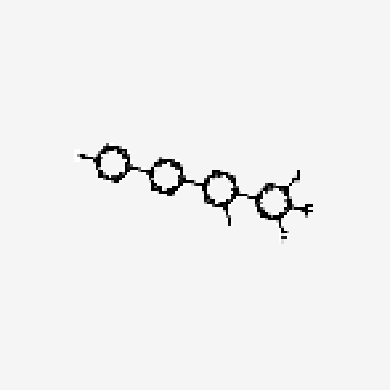 Cc1cc(-c2ccc(-c3ccc(I)cc3)cc2)ccc1-c1cc(F)c(F)c(I)c1